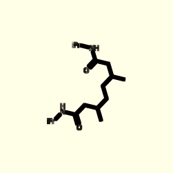 CC(CCC(C)CC(=O)NC(C)C)CC(=O)NC(C)C